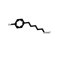 CCCCCCCCCCCCc1cc[c]([Fe])cc1